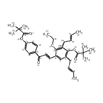 CC=CCc1cc(C=CC(=O)c2ccc(OC(=O)C(C)(C)C)cc2)c(OCC)c(CC=CC)c1OC(=O)C(C)(C)C